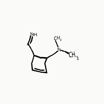 CN(C)C1C=CC1C=N